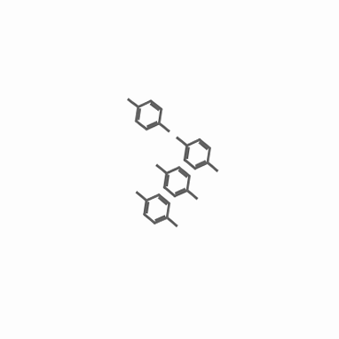 Cc1ccc(C)cc1.Cc1ccc(C)cc1.Cc1ccc(C)cc1.Cc1ccc(C)cc1